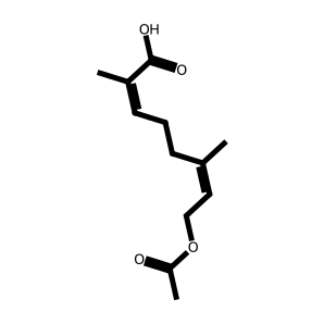 CC(=O)OCC=C(C)CCC=C(C)C(=O)O